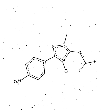 Cn1nc(-c2ccc([N+](=O)[O-])cc2)c(Cl)c1OC(F)F